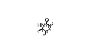 C=C1NC(=O)N(C)CC1C